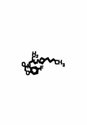 CCCCC1CN(CC(C)CN2C(=O)COc3ccc(F)cc32)C1